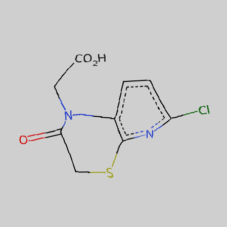 O=C(O)CN1C(=O)CSc2nc(Cl)ccc21